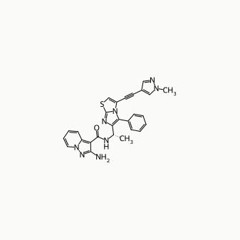 C[C@H](NC(=O)c1c(N)nn2ccccc12)c1nc2scc(C#Cc3cnn(C)c3)n2c1-c1ccccc1